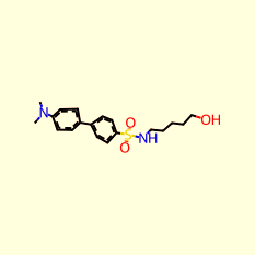 CN(C)c1ccc(-c2ccc(S(=O)(=O)NCCCCCO)cc2)cc1